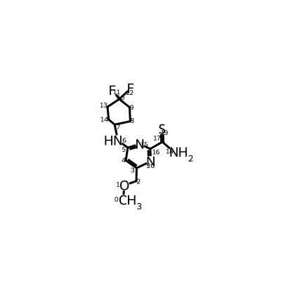 COCc1cc(NC2CCC(F)(F)CC2)nc(C(N)=S)n1